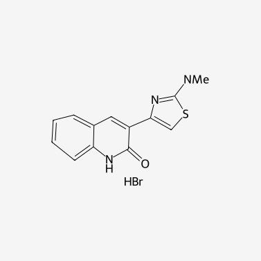 Br.CNc1nc(-c2cc3ccccc3[nH]c2=O)cs1